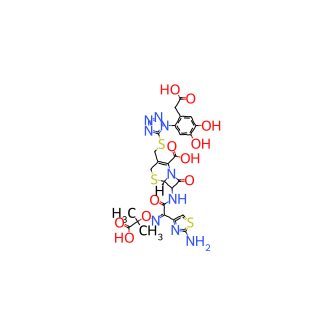 CC(C)(O/N=C(\C(=O)NC1C(=O)N2C(C(=O)O)=C(CSc3nnnn3-c3cc(O)c(O)cc3CC(=O)O)CS[C@@H]12)c1csc(N)n1)C(=O)O